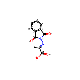 CC(=NN1C(=O)c2ccccc2C1=O)C(=O)O